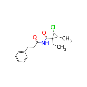 CCC1(C(=O)NC(=O)CCc2ccccc2)C(C)C1Cl